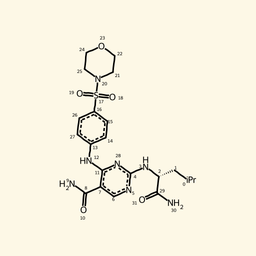 CC(C)C[C@@H](Nc1ncc(C(N)=O)c(Nc2ccc(S(=O)(=O)N3CCOCC3)cc2)n1)C(N)=O